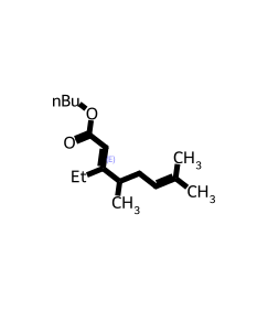 CCCCOC(=O)/C=C(\CC)C(C)CC=C(C)C